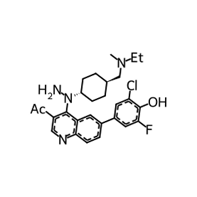 CCN(C)C[C@H]1CC[C@H](N(N)c2c(C(C)=O)cnc3ccc(-c4cc(F)c(O)c(Cl)c4)cc23)CC1